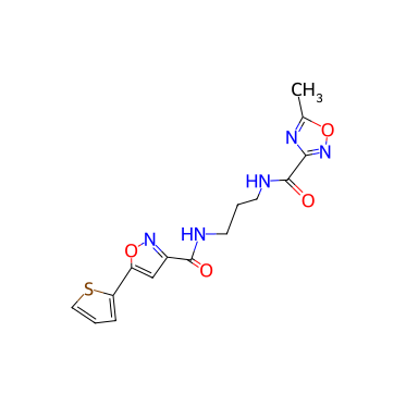 Cc1nc(C(=O)NCCCNC(=O)c2cc(-c3cccs3)on2)no1